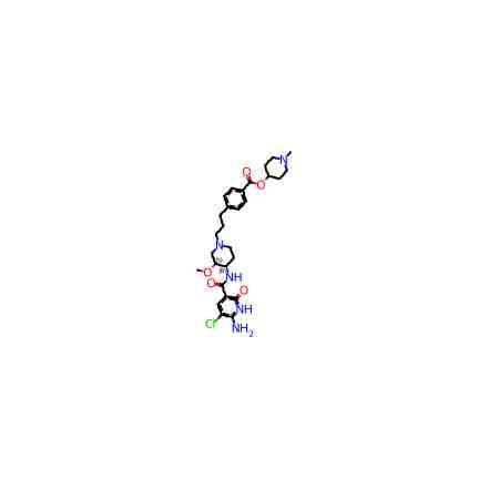 CO[C@H]1CN(CCCc2ccc(C(=O)OC3CCN(C)CC3)cc2)CC[C@H]1NC(=O)c1cc(Cl)c(N)[nH]c1=O